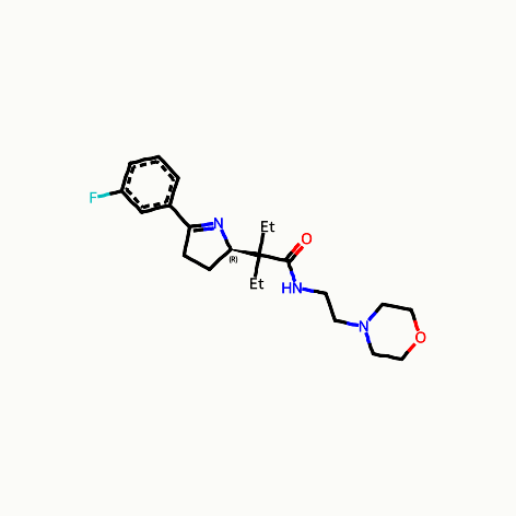 CCC(CC)(C(=O)NCCN1CCOCC1)[C@H]1CCC(c2cccc(F)c2)=N1